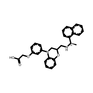 C[C@@H](NCC1CN(c2cccc(OCC(=O)O)c2)c2ccccc2O1)c1cccc2ccccc12